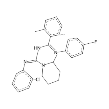 Cc1cccc(C)c1/C(=N\c1ccc(F)cc1)N/C(=N/c1ccccc1Cl)N1CCCCC1C